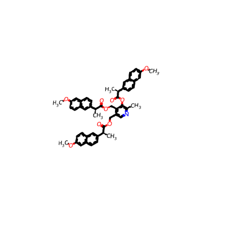 COc1ccc2cc([C@H](C)C(=O)OCc3cnc(C)c(OC(=O)[C@@H](C)c4ccc5cc(OC)ccc5c4)c3COC(=O)[C@@H](C)c3ccc4cc(OC)ccc4c3)ccc2c1